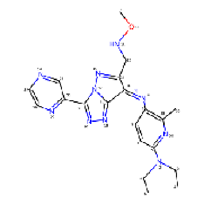 CCN(CC)c1ccc(/N=C2/C(CNOC)=Nn3c2nnc3-c2cnccn2)c(C)n1